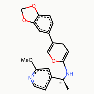 COc1cc([C@H](C)NC2=CCC(c3ccc4c(c3)OCO4)=CO2)ccn1